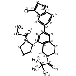 CC(C)(C)OC(=O)N1CCC[C@H]1c1cc(-c2cnc3[nH]cc(Cl)c3c2)cc2c1CN(C(=O)C(C)(C)O)CC2